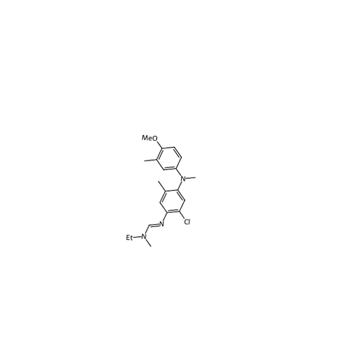 CCN(C)C=Nc1cc(C)c(N(C)c2ccc(OC)c(C)c2)cc1Cl